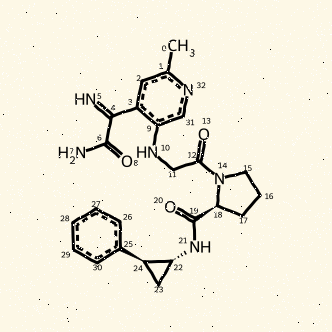 Cc1cc(C(=N)C(N)=O)c(NCC(=O)N2CCC[C@H]2C(=O)N[C@@H]2C[C@H]2c2ccccc2)cn1